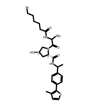 Cc1ccsc1-c1ccc(C(C)NC(=O)[C@@H]2C[C@@H](O)CN2C(=O)C(NC(=O)CCCCCBr)C(C)(C)C)cc1